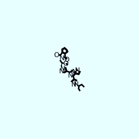 CCC(CC)n1cc(-c2nc(-c3cnn(C[C@@H](CN4C(=O)c5ccccc5C4=O)OC)c3)cn3nccc23)cn1